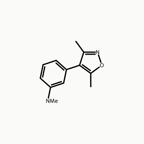 [CH]Nc1cccc(-c2c(C)noc2C)c1